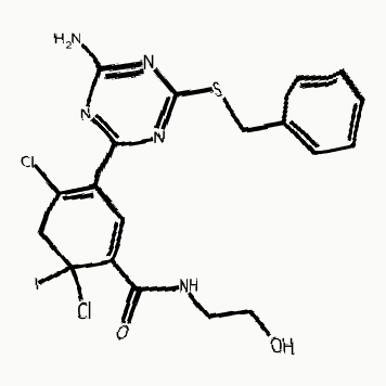 Nc1nc(SCc2ccccc2)nc(C2=C(Cl)CC(Cl)(I)C(C(=O)NCCO)=C2)n1